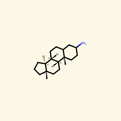 C[C@@]12CCC[C@H]1[C@@H]1CCC3CC(N)CC[C@]3(C)[C@@H]1CC2